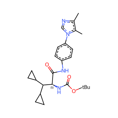 Cc1ncn(-c2ccc(NC(=O)[C@@H](NC(=O)OC(C)(C)C)C(C3CC3)C3CC3)cc2)c1C